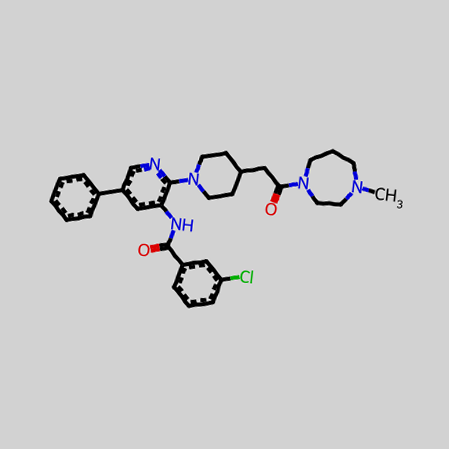 CN1CCCN(C(=O)CC2CCN(c3ncc(-c4ccccc4)cc3NC(=O)c3cccc(Cl)c3)CC2)CC1